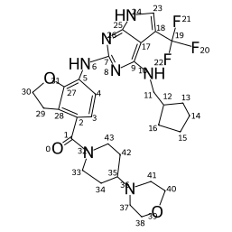 O=C(c1ccc(Nc2nc(NCC3CCCC3)c3c(C(F)(F)F)c[nH]c3n2)c2c1CCO2)N1CCC(N2CCOCC2)CC1